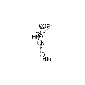 CC(C)c1ccc(S(=O)(=O)Nc2ccc(SCc3ccc(C(C)(C)C)cc3)nc2)cc1C(=O)O